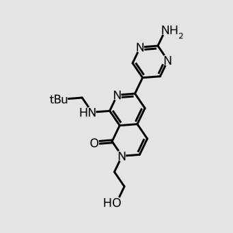 CC(C)(C)CNc1nc(-c2cnc(N)nc2)cc2ccn(CCO)c(=O)c12